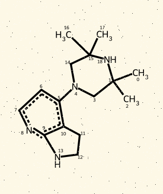 CC1(C)CN(c2ccnc3c2CCN3)CC(C)(C)N1